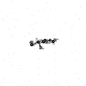 Cc1cc(N=Nc2ccc3c(S(=O)(=O)O)c(N=Nc4cnn(-c5cc(Cl)cc(S(=O)(=O)O)c5)c4O)ccc3c2O)c(OCCCS(=O)(=O)O)cc1N=Nc1nc2c(S(=O)(=O)O)cccc2s1